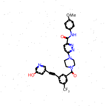 COc1ccc(NC(=O)c2ccc(N3CCN(C(=O)c4cc(C#Cc5cncc(O)c5)cc(C(F)(F)F)c4)CC3)nn2)cc1